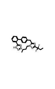 CCCCn1nc(C(F)(F)CC)nc1Cc1ccc(-c2ccccc2-c2nnn[nH]2)cc1